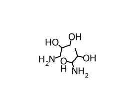 CC(O)C(N)O.NCC(O)CO